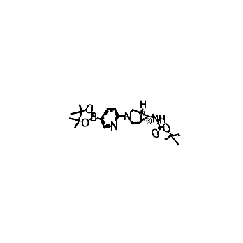 CC(C)(C)OC(=O)N[C@@H]1C2CN(c3ccc(B4OC(C)(C)C(C)(C)O4)cn3)C[C@@H]21